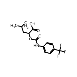 CC(C)CC(OC(=O)Nc1ccc(C(F)(F)F)cc1)C(=O)O